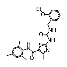 CCOc1ccccc1CNC(=O)Nc1nc(C)c(C(=O)Nc2c(C)cc(C)cc2C)s1